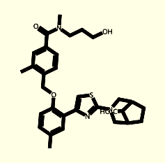 Cc1ccc(OCc2ccc(C(=O)N(C)CCCO)cc2C)c(-c2csc(N3CC4CCC(C3)C4C(=O)O)n2)c1